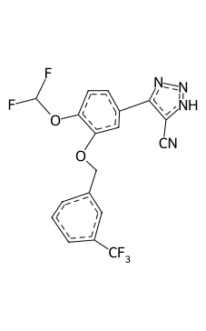 N#Cc1[nH]nnc1-c1ccc(OC(F)F)c(OCc2cccc(C(F)(F)F)c2)c1